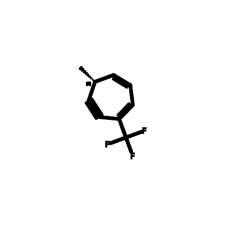 C[C@H]1C#CC(C(F)(F)F)=CC=C1